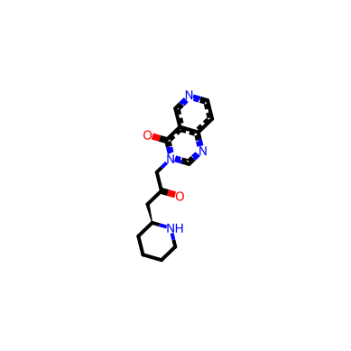 O=C(C[C@@H]1CCCCN1)Cn1cnc2ccncc2c1=O